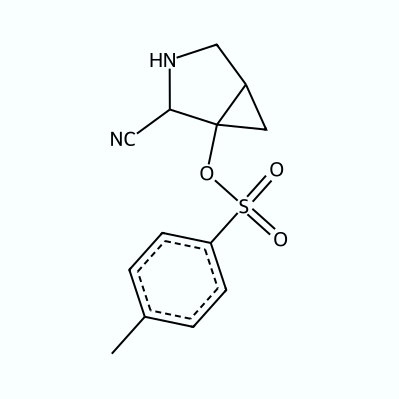 Cc1ccc(S(=O)(=O)OC23CC2CNC3C#N)cc1